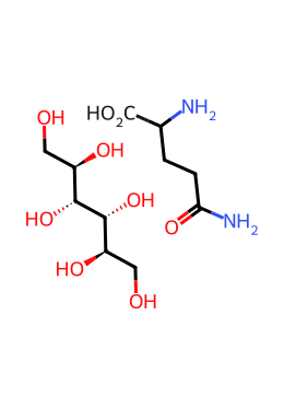 NC(=O)CCC(N)C(=O)O.OC[C@@H](O)[C@@H](O)[C@H](O)[C@H](O)CO